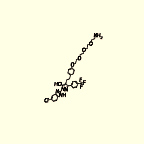 NCCOCCOCCOCCOc1ccc(CCc2c(-c3ccc(C(F)(F)F)cc3)nn(-c3nc4cc(Cl)ccc4[nH]3)c2O)cc1